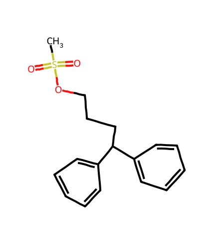 CS(=O)(=O)OCCCC(c1ccccc1)c1ccccc1